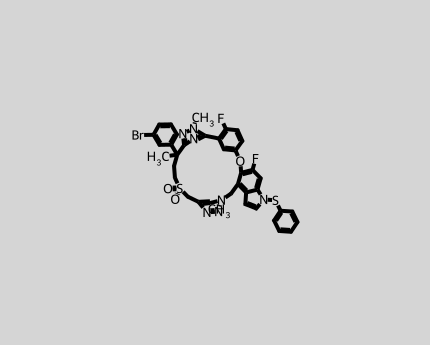 Cc1c2nnn1Cc1c(c(F)cc3c1ccn3Sc1ccccc1)Oc1ccc(F)c(c1)-c1nc(nn1C)C(C)(c1cccc(Br)c1)CCS(=O)(=O)C2